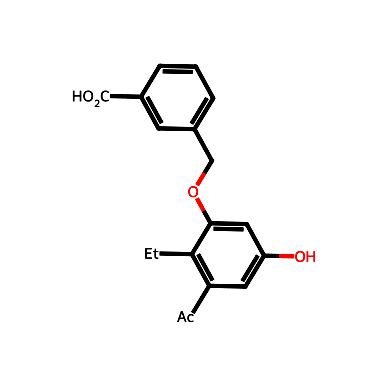 CCc1c(OCc2cccc(C(=O)O)c2)cc(O)cc1C(C)=O